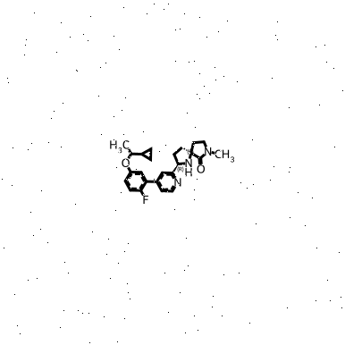 CC(Oc1ccc(F)c(-c2ccnc([C@H]3CC[C@@]4(CCN(C)C4=O)N3)c2)c1)C1CC1